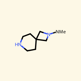 CNN1CC2(CCNCC2)C1